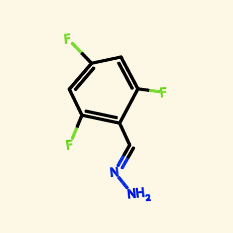 NN=Cc1c(F)cc(F)cc1F